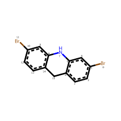 Brc1ccc2c(c1)Nc1cc(Br)ccc1C2